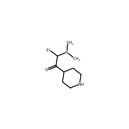 CCC(C(=O)C1CCNCC1)N(C)C